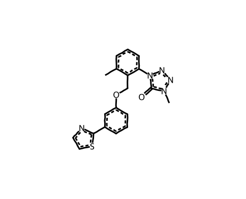 Cc1cccc(-n2nnn(C)c2=O)c1COc1cccc(-c2nccs2)c1